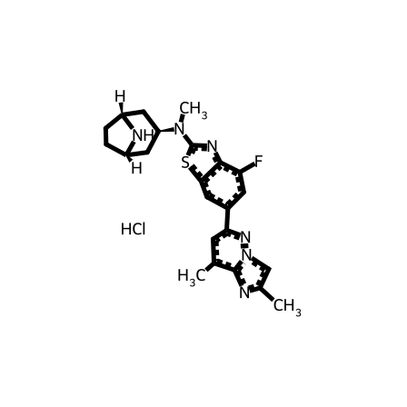 Cc1cn2nc(-c3cc(F)c4nc(N(C)[C@@H]5C[C@H]6CC[C@@H](C5)N6)sc4c3)cc(C)c2n1.Cl